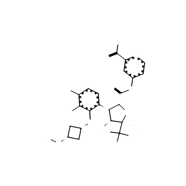 CO[C@H]1C[C@@H](Oc2c([C@H]3[C@H](C(=O)Nc4ccnc(C(N)=O)c4)O[C@@](C)(C(F)(F)F)[C@H]3C)ccc(F)c2F)C1